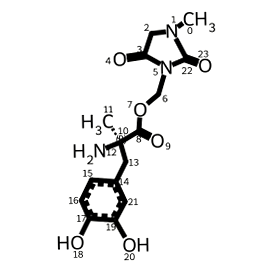 CN1CC(=O)N(COC(=O)[C@](C)(N)Cc2ccc(O)c(O)c2)C1=O